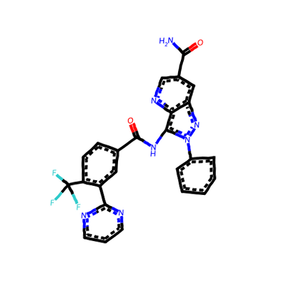 NC(=O)c1cnc2c(NC(=O)c3ccc(C(F)(F)F)c(-c4ncccn4)c3)n(-c3ccccc3)nc2c1